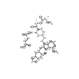 C[C@H](N)C(=O)O[C@@H](C)C(=O)N1CCC(CCn2c(Sc3cc4c(cc3Br)OCO4)nc3c(N)ncnc32)CC1.O=C(O)/C=C/C(=O)O